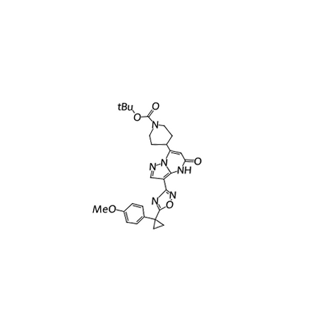 COc1ccc(C2(c3nc(-c4cnn5c(C6CCN(C(=O)OC(C)(C)C)CC6)cc(=O)[nH]c45)no3)CC2)cc1